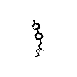 CCOC(=O)CCc1ccc(-c2ccc(C)cn2)cc1